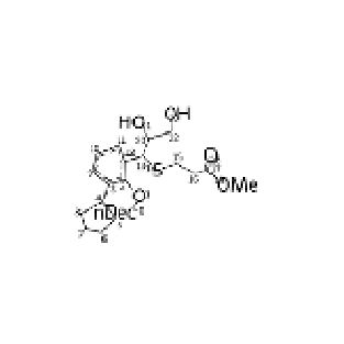 CCCCCCCCCCOc1c(C2CCCC2)cccc1C(SCCC(=O)OC)C(O)CO